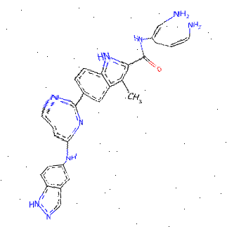 Cc1c(C(=O)NC(/C=C\N)=C/N)[nH]c2ccc(-c3nccc(Nc4ccc5[nH]ncc5c4)n3)cc12